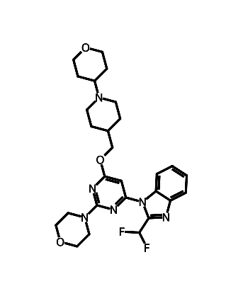 FC(F)c1nc2ccccc2n1-c1cc(OCC2CCN(C3CCOCC3)CC2)nc(N2CCOCC2)n1